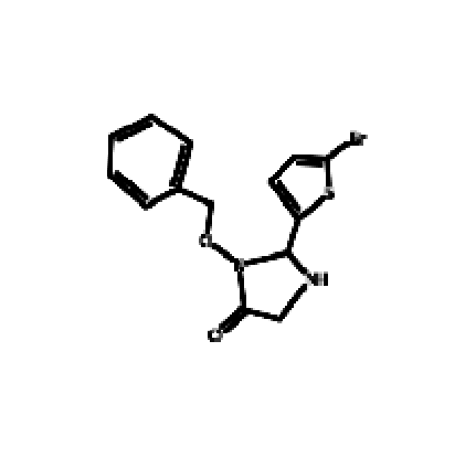 O=C1CNC(c2ccc(Br)s2)N1OCc1ccccc1